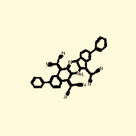 N#CC(C#N)=C1C2=C(N=C3C(=C(C#N)C#N)c4cc(-c5ccccc5)ccc4C(=C(C#N)C#N)C3N2)c2ccc(-c3ccccc3)cc21